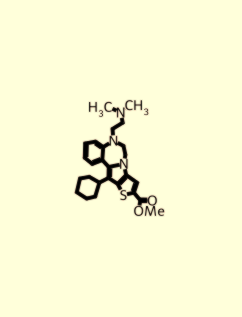 COC(=O)c1cc2c(s1)c(C1CCCCC1)c1n2CCN(CCN(C)C)c2ccccc2-1